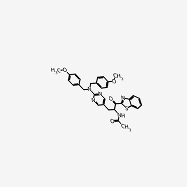 COc1ccc(CN(Cc2ccc(OC)cc2)c2ncc(CC(NC(C)=O)C(=O)c3nc4ccccc4s3)cn2)cc1